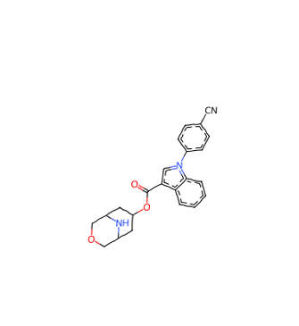 N#Cc1ccc(-n2cc(C(=O)OC3CC4COCC(C3)N4)c3ccccc32)cc1